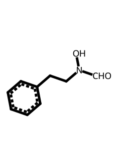 O=CN(O)CCc1ccccc1